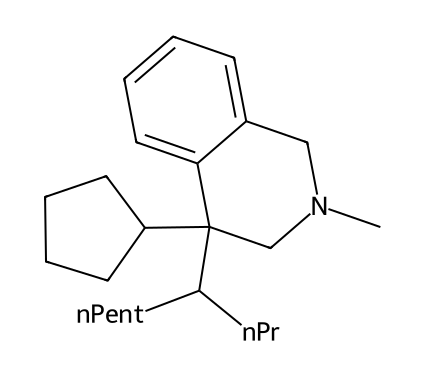 CCCCCC(CCC)C1(C2CCCC2)CN(C)Cc2ccccc21